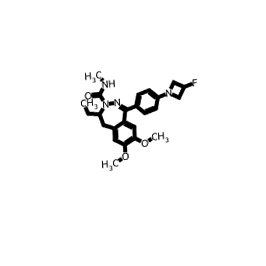 CCC1Cc2cc(OC)c(OC)cc2C(c2ccc(N3CC(F)C3)cc2)=NN1C(=O)NC